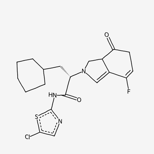 O=C1CC=C(F)C2=CN([C@@H](CC3CCCCC3)C(=O)Nc3ncc(Cl)s3)CC12